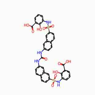 O=C(Nc1ccc2ccc(S(=O)(=O)Nc3cccc(C(=O)O)c3O)cc2c1)Nc1ccc2ccc(S(=O)(=O)Nc3cccc(C(=O)O)c3O)cc2c1